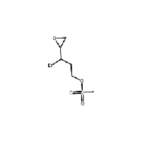 CCC(CCOS(C)(=O)=O)C1CO1